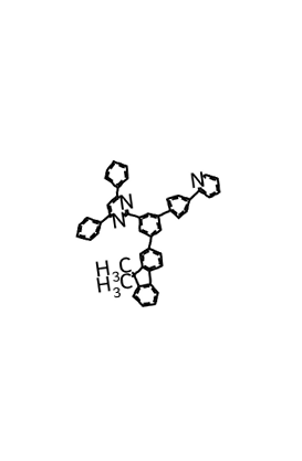 CC1(C)c2ccccc2-c2ccc(-c3cc(-c4ccc(-c5ccccn5)cc4)cc(-c4nc(-c5ccccc5)cc(-c5ccccc5)n4)c3)cc21